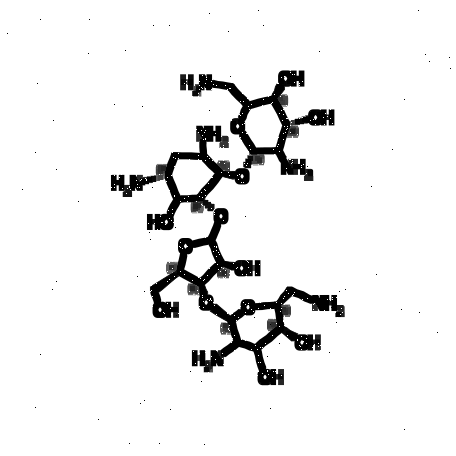 NCC1O[C@@H](O[C@@H]2C(N)C[C@@H](N)C(O)[C@H]2OC2O[C@H](CO)[C@H](O[C@H]3O[C@@H](CN)[C@@H](O)C(O)C3N)[C@@H]2O)C(N)[C@@H](O)[C@@H]1O